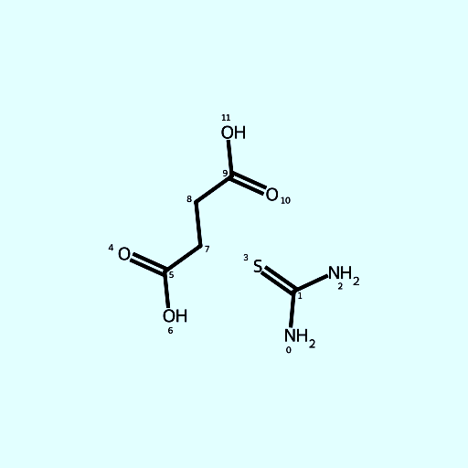 NC(N)=S.O=C(O)CCC(=O)O